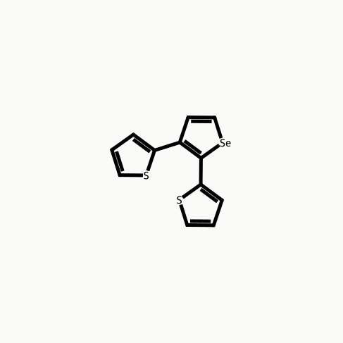 c1csc(-c2cc[se]c2-c2cccs2)c1